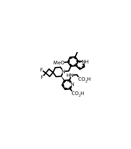 COc1cc(C)c2[nH]ccc2c1CN1CCC2(C[C@@H]1c1ccc(C(=O)O)nc1NCC(=O)O)CC(F)(F)C2